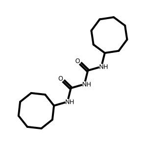 O=C(NC(=O)NC1CCCCCCC1)NC1CCCCCCC1